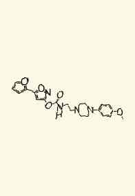 COc1ccc(N2CCN(CCNC(=O)Oc3cc(-c4ccco4)on3)CC2)cc1